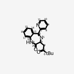 CC(C)(C)C(=O)CC1N=C(c2ccccn2)c2ccccc2NC1=O